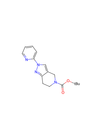 CC(C)(C)OC(=O)N1CCc2nn(-c3ccccn3)cc2C1